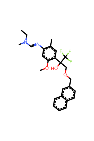 CCN(C)C=Nc1cc(OC)c(C(O)(COCc2ccc3ccccc3c2)C(F)(F)F)cc1C